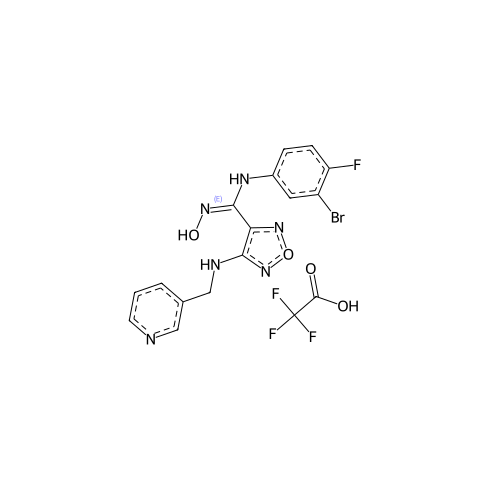 O/N=C(/Nc1ccc(F)c(Br)c1)c1nonc1NCc1cccnc1.O=C(O)C(F)(F)F